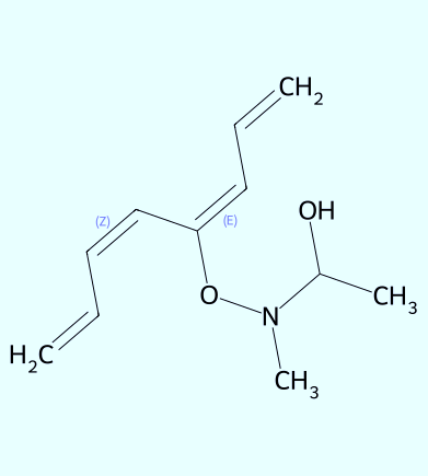 C=C/C=C\C(=C/C=C)ON(C)C(C)O